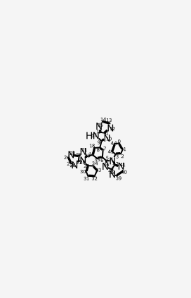 c1ccc(-n2c(-c3cc(-c4nc5nccnc5[nH]4)cc(-c4nc5nccnc5n4-c4ccccc4)c3)nc3nccnc32)cc1